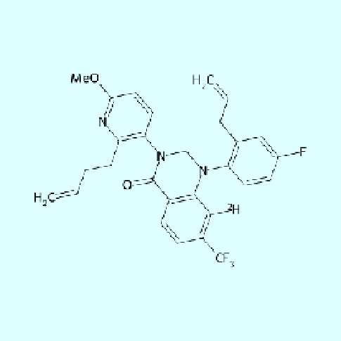 [2H]c1c(C(F)(F)F)ccc2c1N(c1ccc(F)cc1CC=C)CN(c1ccc(OC)nc1CCC=C)C2=O